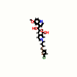 COc1ccc2nccc(C(O)CC[C@@H]3CCN(CCCSc4ccc(Cl)s4)C[C@@H]3C(=O)O)c2c1